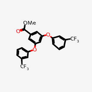 COC(=O)c1cc(Oc2cccc(C(F)(F)F)c2)cc(Oc2cccc(C(F)(F)F)c2)c1